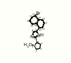 CN1CCC[C@@H]1c1ncc(-c2cccc3c(Br)cccc23)[nH]1